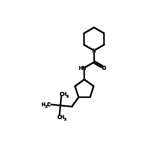 CC(C)(C)CC1CCC(NC(=O)N2CCCCC2)C1